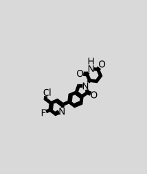 O=C1CCC(N2Cc3cc(-c4cc(CCl)c(F)cn4)ccc3C2=O)C(=O)N1